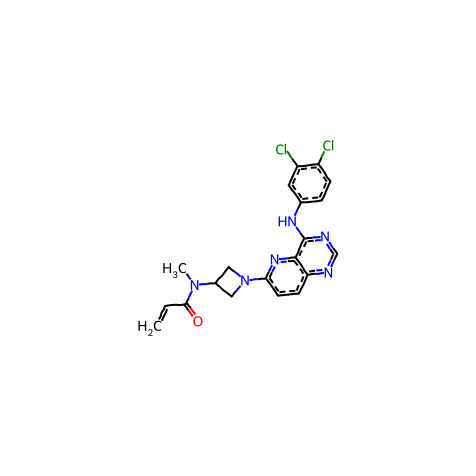 C=CC(=O)N(C)C1CN(c2ccc3ncnc(Nc4ccc(Cl)c(Cl)c4)c3n2)C1